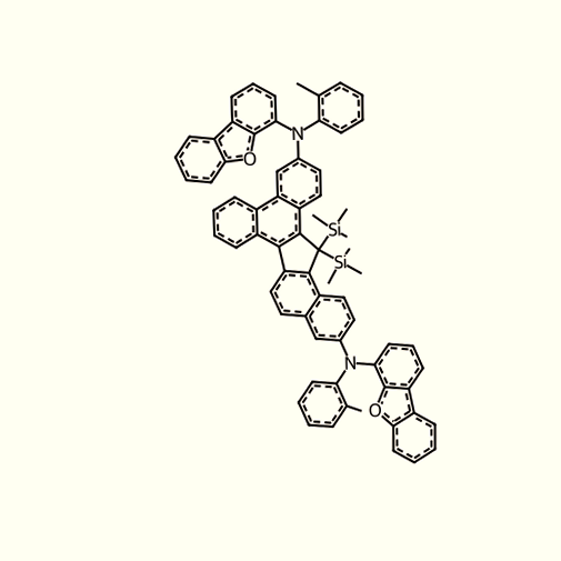 Cc1ccccc1N(c1ccc2c3c(ccc2c1)-c1c(c2ccc(N(c4ccccc4C)c4cccc5c4oc4ccccc45)cc2c2ccccc12)C3([Si](C)(C)C)[Si](C)(C)C)c1cccc2c1oc1ccccc12